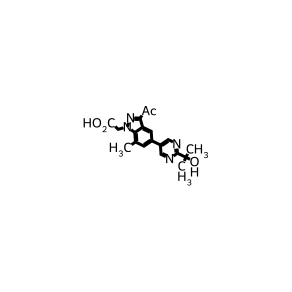 CC(=O)c1nn(CC(=O)O)c2c(C)cc(-c3cnc(C(C)(C)O)nc3)cc12